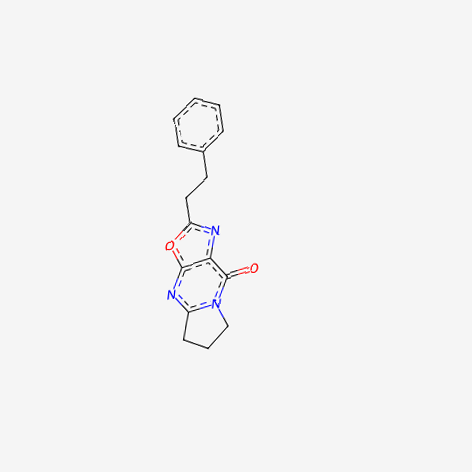 O=c1c2nc(CCc3ccccc3)oc2nc2n1CCC2